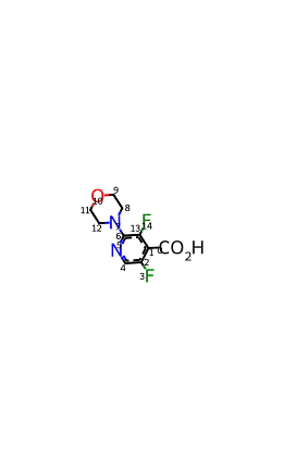 O=C(O)c1c(F)cnc(N2CCOCC2)c1F